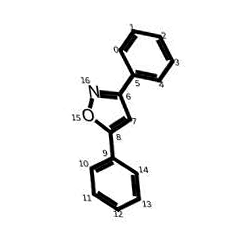 [c]1ccccc1-c1cc(-c2ccccc2)on1